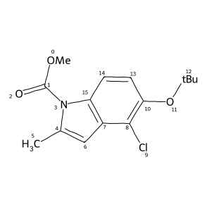 COC(=O)n1c(C)cc2c(Cl)c(OC(C)(C)C)ccc21